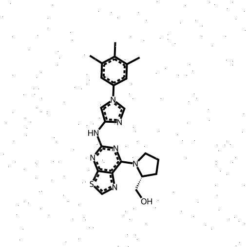 Cc1cc(-n2cnc(Nc3nc(N4CCC[C@@H]4CO)c4ncsc4n3)c2)cc(C)c1C